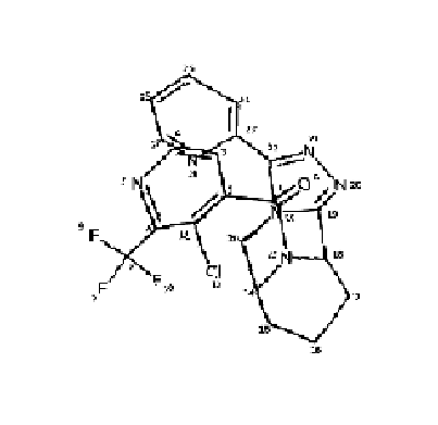 O=C(c1ccnc(C(F)(F)F)c1Cl)N1C2CCCC1c1nnc(-c3ccccn3)n1C2